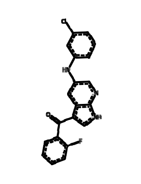 O=C(c1ccccc1F)c1c[nH]c2ncc(Nc3cccc(Cl)c3)cc12